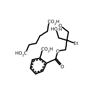 CCC(CO)(CO)COC(=O)c1ccccc1C(=O)O.O=C(O)CCCCC(=O)O